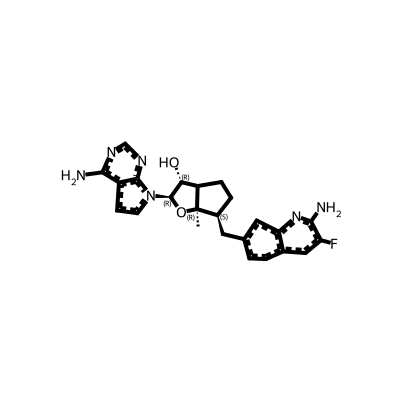 C[C@]12O[C@@H](n3ccc4c(N)ncnc43)[C@H](O)C1CC[C@H]2Cc1ccc2cc(F)c(N)nc2c1